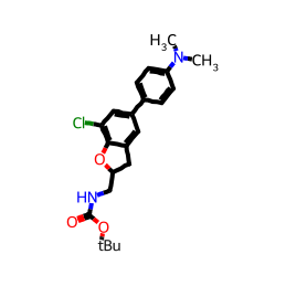 CN(C)c1ccc(-c2cc(Cl)c3c(c2)CC(CNC(=O)OC(C)(C)C)O3)cc1